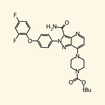 CC(C)(C)OC(=O)N1CCN(c2ccnc3c(C(N)=O)n(-c4ccc(Oc5ccc(F)cc5F)cc4)nc23)CC1